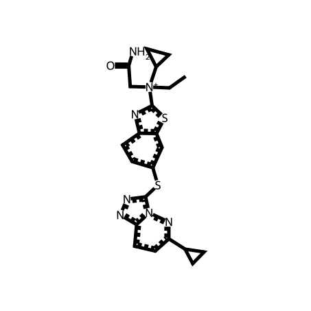 CC[N+](CC(N)=O)(c1nc2ccc(Sc3nnc4ccc(C5CC5)nn34)cc2s1)C1CC1